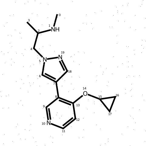 CNC(C)Cn1cc(-c2cnccc2OC2CC2)cn1